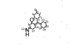 C=c1ccc2c(c1)Oc1cc(NC)ccc1C=2c1ccccc1